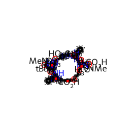 CN[C@@H](C)C(=O)N[C@@H](CC(=O)O)C(=O)N1C[C@@H]2C[C@H]1C(=O)N[C@@H](Cc1ccc3ccccc3c1)C(=O)N[C@H](C(=O)O)Cc1ccc(cc1)C(=O)N[C@H]1C[C@@H](C(=O)N[C@@H](Cc3ccc4ccccc4c3)C(=O)N[C@H](C(=O)O)Cc3ccc(cc3)OC/C=C/CO2)N(C(=O)[C@@H](NC(=O)[C@H](C)NC)C(C)(C)C)C1